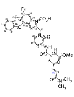 COC(=O)NC(CC/C=C/C(=O)N(C)C)C(=O)Nc1cccn(Cc2nc3c(Oc4ccccc4)c(F)c(F)cc3n2C(=O)O)c1=O